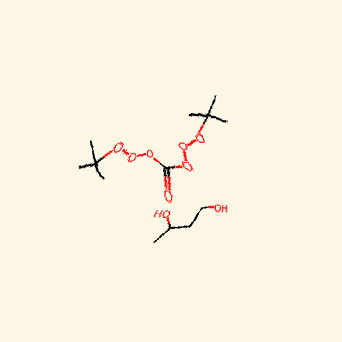 CC(C)(C)OOOC(=O)OOOC(C)(C)C.CC(O)CCO